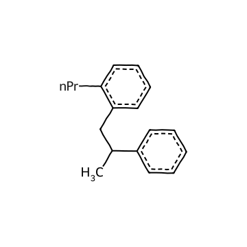 CCCc1ccccc1CC(C)c1ccccc1